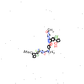 C=CC(=O)N1CCN(c2nnc(Oc3cccc(CN(C)C/C=C/C(=O)N4CCN(c5snc6c(F)c(-c7cc(OC)cc8ccccc78)c(Cl)cc56)CC4)c3)c3cc(-c4c(O)cccc4F)c(Cl)cc23)CC1